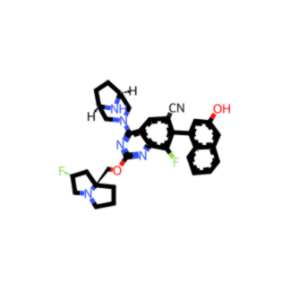 N#Cc1cc2c(N3C[C@H]4CC[C@@H](C3)N4)nc(OC[C@@]34CCCN3C[C@H](F)C4)nc2c(F)c1-c1cc(O)cc2ccccc12